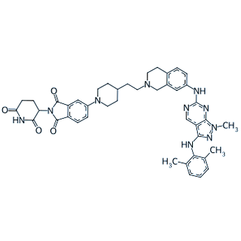 Cc1cccc(C)c1Nc1nn(C)c2nc(Nc3ccc4c(c3)CN(CCC3CCN(c5ccc6c(c5)C(=O)N(C5CCC(=O)NC5=O)C6=O)CC3)CC4)ncc12